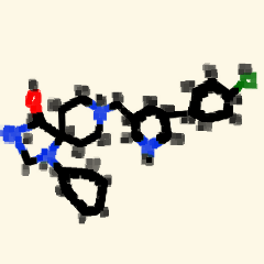 O=C1NCN(c2ccccc2)C12CCN(Cc1cncc(-c3ccc(Cl)cc3)c1)CC2